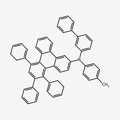 Cc1ccc(N(c2cccc(-c3ccccc3)c2)c2ccc3c(c2)c2ccccc2c2c(C4=CC=CCC4)cc(-c4ccccc4)c(C4=CC=CCC4)c32)cc1